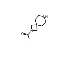 O=C(Cl)N1CC2(CCNCC2)C1